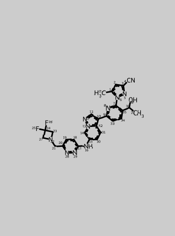 Cc1cc(C#N)nn1-c1nc(-c2cnn3cc(Nc4ccc(CN5CC(F)(F)C5)nn4)ccc23)ccc1C(C)O